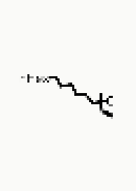 C=CC(C)(Cl)CCCCCCCCCCCC